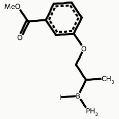 COC(=O)c1cccc(OCC(C)B(P)I)c1